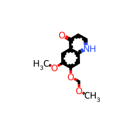 COCOc1cc2[nH]ccc(=O)c2cc1OC